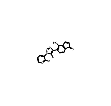 Cc1c(-c2ccc3c(c2O)C=CC3=O)nnn1-c1cccnc1F